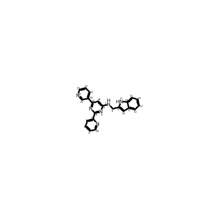 c1ccc(-c2nc(NCc3cc4ccccc4[nH]3)cc(-c3cccnc3)n2)nc1